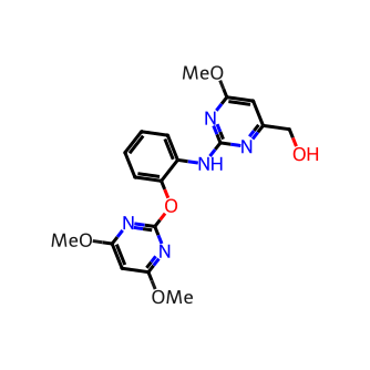 COc1cc(CO)nc(Nc2ccccc2Oc2nc(OC)cc(OC)n2)n1